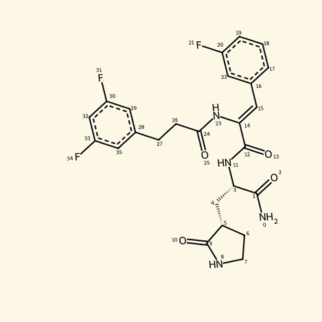 NC(=O)[C@H](C[C@@H]1CCNC1=O)NC(=O)C(=Cc1cccc(F)c1)NC(=O)CCc1cc(F)cc(F)c1